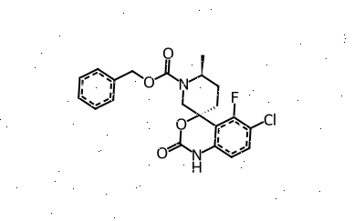 C[C@H]1CC[C@@]2(CN1C(=O)OCc1ccccc1)OC(=O)Nc1ccc(Cl)c(F)c12